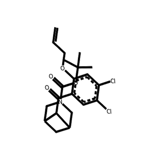 C=CCOc1cc(Cl)c(Cl)cc1C(=O)C1C2CC1CN(C(=O)OC(C)(C)C)C2